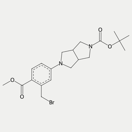 COC(=O)c1ccc(N2CC3CN(C(=O)OC(C)(C)C)CC3C2)cc1CBr